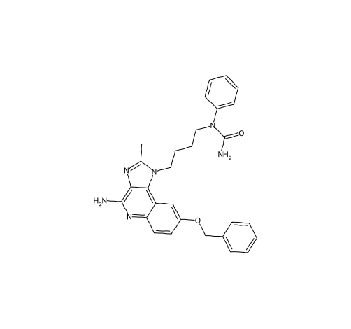 Cc1nc2c(N)nc3ccc(OCc4ccccc4)cc3c2n1CCCCN(C(N)=O)c1ccccc1